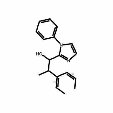 C/C=C\C(=C/C)C(C)C(O)c1nccn1-c1ccccc1